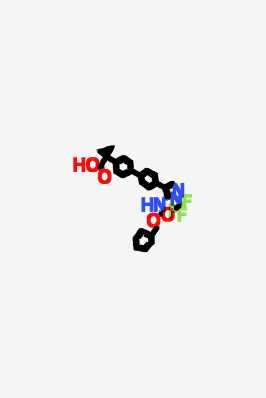 O=C(Nc1c(-c2ccc(-c3ccc(C4(C(=O)O)CC4)cc3)cc2)cnn1C(F)(F)F)OCc1ccccc1